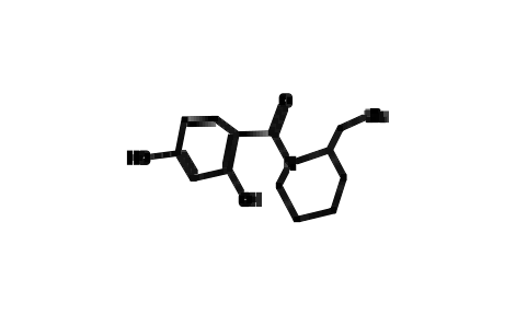 CC(C)(C)CC1CCCCN1C(=O)c1ccc(O)cc1O